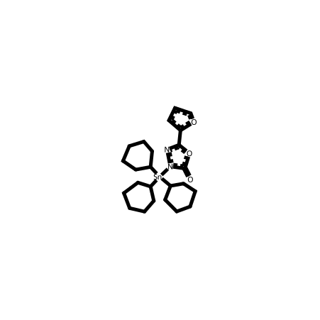 O=c1oc(-c2ccco2)n[n]1[Sn]([CH]1CCCCC1)([CH]1CCCCC1)[CH]1CCCCC1